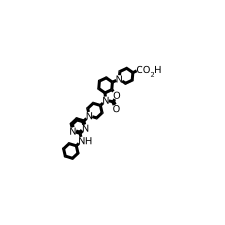 O=C(O)C1CCN(C2CCCC3C2OC(=O)N3C2CCN(c3ccnc(NC4CCCCC4)n3)CC2)CC1